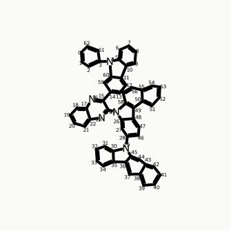 c1ccc(-n2c3ccccc3c3ccc(-c4nc5ccccc5nc4-n4c5cc(-n6c7ccccc7c7cc8ccccc8cc76)ccc5c5c6ccccc6ccc54)cc32)cc1